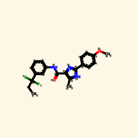 CCC(F)(F)c1cccc(NC(=O)c2nc(-c3ccc(OC)cc3)[nH]c2C)c1